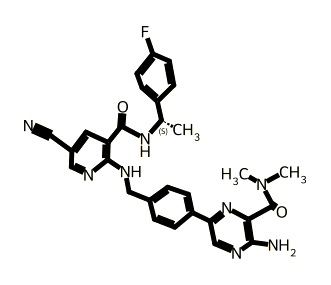 C[C@H](NC(=O)c1cc(C#N)cnc1NCc1ccc(-c2cnc(N)c(C(=O)N(C)C)n2)cc1)c1ccc(F)cc1